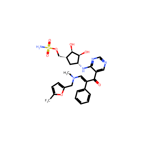 CN(/C=C(/C(=O)c1cncnc1N[C@@H]1C[C@H](COS(N)(=O)=O)[C@@H](O)[C@H]1O)c1ccccc1)Cc1ccc(C(F)(F)F)o1